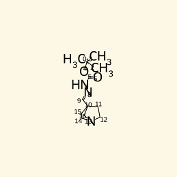 CC(C)(C)OC(=O)N/N=C/C12CCN(CC1)C2